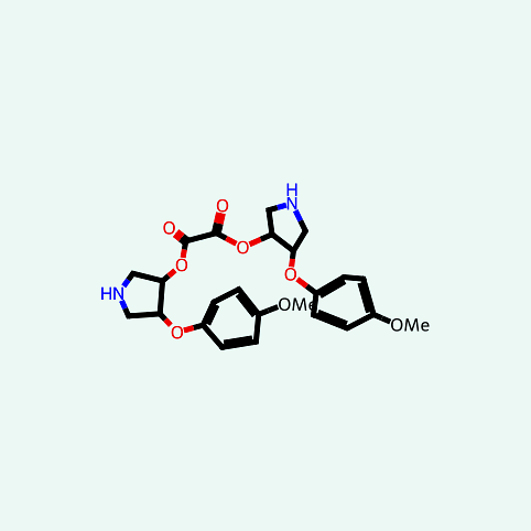 COc1ccc(OC2CNCC2OC(=O)C(=O)OC2CNCC2Oc2ccc(OC)cc2)cc1